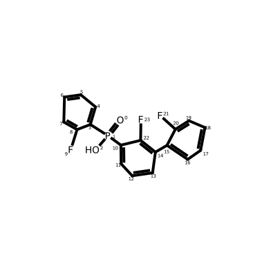 O=P(O)(c1ccccc1F)c1cccc(-c2ccccc2F)c1F